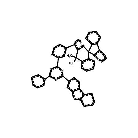 CC1(C)c2ccccc2C2(c3ccccc3-c3ccccc32)c2cccc(-c3cccc(-c4nc(-c5ccccc5)nc(-c5ccc6c(c5)sc5ccccc56)n4)c3)c21